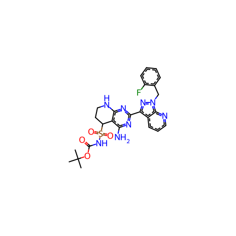 CC(C)(C)OC(=O)NS(=O)(=O)C1CCNc2nc(-c3nn(Cc4ccccc4F)c4ncccc34)nc(N)c21